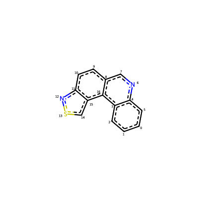 c1ccc2c(c1)ncc1ccc3nscc3c12